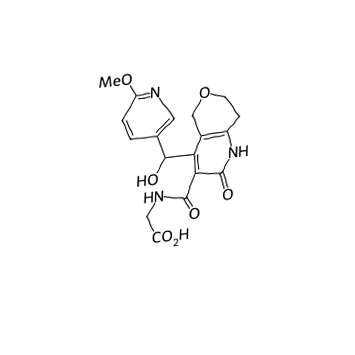 COc1ccc(C(O)c2c3c([nH]c(=O)c2C(=O)NCC(=O)O)CCOC3)cn1